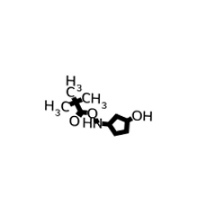 CC(C)(C)C(=O)ONC1CCC(O)C1